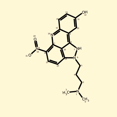 CN(C)CCCN1Nc2c3cc(O)ccc3nc3c([N+](=O)[O-])ccc1c23